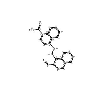 O=Cc1ccc2ccccc2c1OOc1ccc(C(=O)O)c2ccccc12